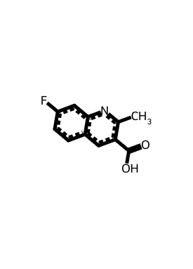 Cc1nc2cc(F)ccc2cc1C(=O)O